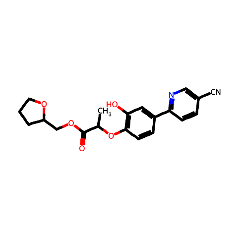 CC(Oc1ccc(-c2ccc(C#N)cn2)cc1O)C(=O)OCC1CCCO1